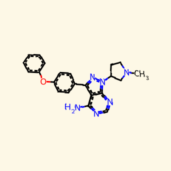 CN1CCC(n2nc(-c3ccc(Oc4ccccc4)cc3)c3c(N)ncnc32)C1